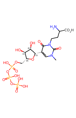 Cn1cc([C@@H]2O[C@H](COP(=O)(O)OP(=O)(O)OP(=O)(O)O)[C@@H](O)[C@H]2O)c(=O)n(CCC(N)C(=O)O)c1=O